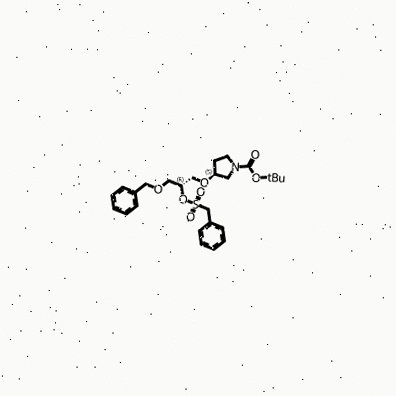 CC(C)(C)OC(=O)N1CC[C@H](OC[C@@H](COCc2ccccc2)OS(=O)(=O)Cc2ccccc2)C1